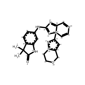 CC1(C)C(=O)Nc2cc(NC3=N[N+]4(c5cc6n(n5)CCOC6)C=CN=CC4=N3)ccc21